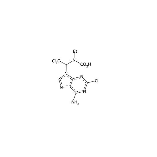 CCN(C(=O)O)C(n1cnc2c(N)nc(Cl)nc21)C(Cl)(Cl)Cl